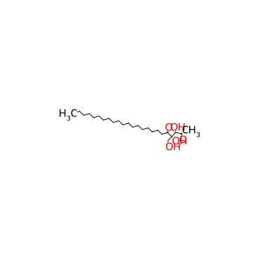 CCCCCCCCCCCCCCCCCCCC(=O)C(O)(CO)C(O)C(C)=O